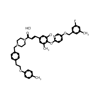 Cc1ccc(OCCc2ccc(CN3CCN(C(=O)/C=C/c4cc(C)c(Oc5ccc(OCc6cc(C)cc(F)c6)cn5)c(Cl)c4)CC3)cc2)cc1.Cl